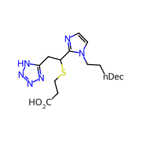 CCCCCCCCCCCCn1ccnc1C(Cc1nnn[nH]1)SCCC(=O)O